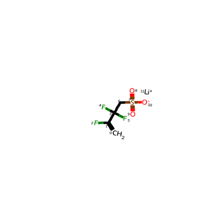 C=C(F)C(F)(F)CS(=O)(=O)[O-].[Li+]